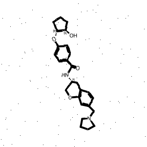 O=C(N[C@H]1COc2cc(CN3CCCC3)ccc2C1)c1ccc(O[C@@H]2CCC[C@H]2O)cc1